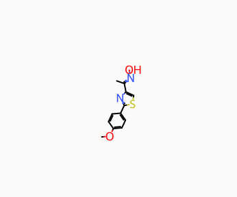 COc1ccc(-c2nc(/C(C)=N/O)cs2)cc1